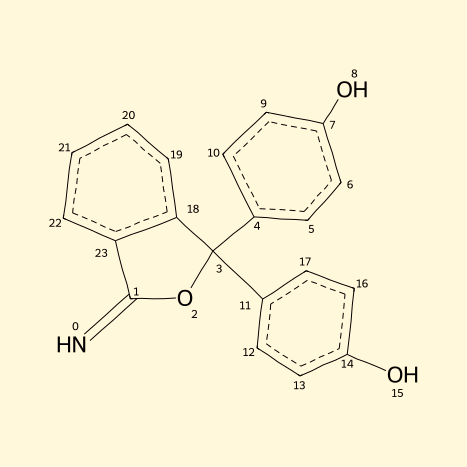 N=C1OC(c2ccc(O)cc2)(c2ccc(O)cc2)c2ccccc21